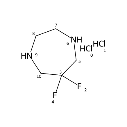 Cl.Cl.FC1(F)CNCCNC1